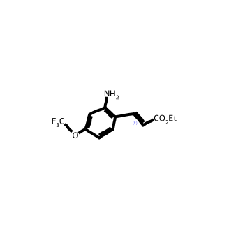 CCOC(=O)/C=C/c1ccc(OC(F)(F)F)cc1N